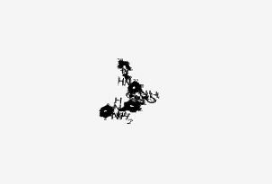 Nc1ccccc1NC(=O)c1ccc(CN2C(=O)Nc3ccc(NCCN4CCCC4)cc3S2(=O)=O)cc1